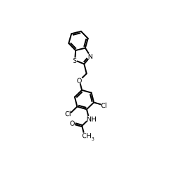 CC(=O)Nc1c(Cl)cc(OCc2nc3ccccc3s2)cc1Cl